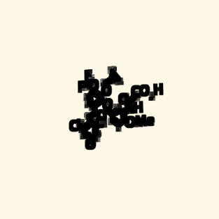 COc1ccc(C(=O)OC(Cc2c(Cl)c[n+]([O-])cc2Cl)c2ccc(OC(F)F)c(OCC3CC3)c2)cc1NC(=O)CC(=O)O